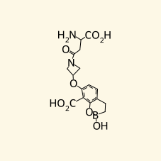 NC(CC(=O)N1CC(Oc2ccc3c(c2C(=O)O)OB(O)CC3)C1)C(=O)O